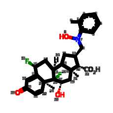 Cc1ccccc1N(O)C[C@@H]1CC2[C@@H]3C[C@H](F)C4=CC(=O)C=C[C@]4(C)[C@@]3(F)[C@@H](O)C[C@]2(C)[C@H]1C(=O)O